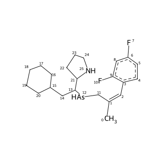 CC(=Cc1ccc(F)cc1F)C[AsH]C(CC1CCCCC1)C1CCCN1